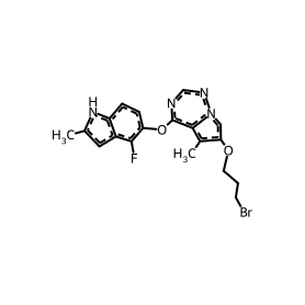 Cc1cc2c(F)c(Oc3ncnn4cc(OCCCBr)c(C)c34)ccc2[nH]1